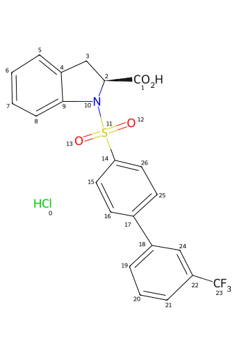 Cl.O=C(O)[C@@H]1Cc2ccccc2N1S(=O)(=O)c1ccc(-c2cccc(C(F)(F)F)c2)cc1